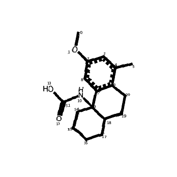 COc1cc(C)c2c(c1)C1(NC(=O)O)CCCCC1CC2